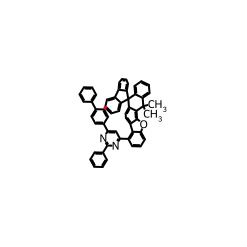 CC1(C)c2ccccc2C2(c3ccccc3-c3ccccc32)c2ccc3c(oc4cccc(-c5cc(-c6ccc(-c7ccccc7)cc6)nc(-c6ccccc6)n5)c43)c21